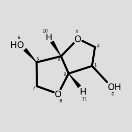 OC1CO[C@H]2[C@H](O)CO[C@@H]12